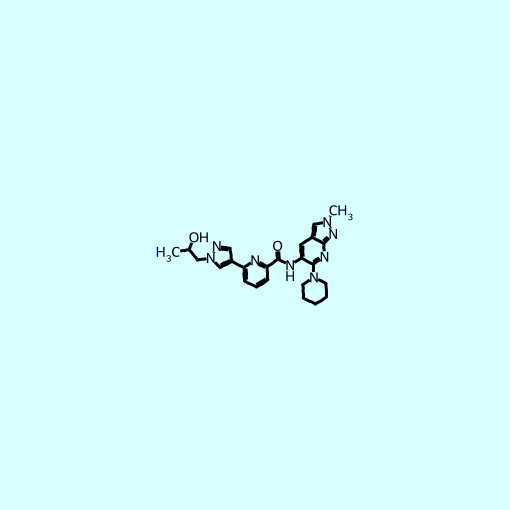 CC(O)Cn1cc(-c2cccc(C(=O)Nc3cc4cn(C)nc4nc3N3CCCCC3)n2)cn1